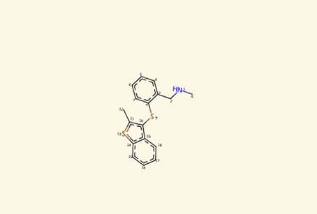 CNCc1ccccc1Sc1c(C)sc2ccccc12